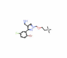 C[Si](C)(C)CCOCn1cc(C=N)c(-c2cc(F)ccc2Br)n1